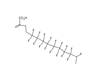 C=C(CCC(F)(F)C(F)(F)C(F)(F)C(F)(F)C(F)(F)C(F)(F)C(F)(F)C(F)(F)C(C)F)C(=O)O